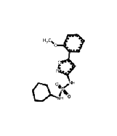 COc1ccccc1-c1cc(NS(=O)(=O)NC2CCCCC2)no1